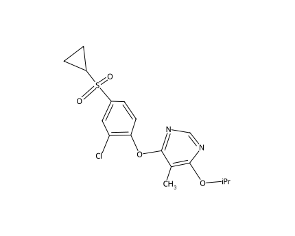 Cc1c(Oc2ccc(S(=O)(=O)C3CC3)cc2Cl)ncnc1OC(C)C